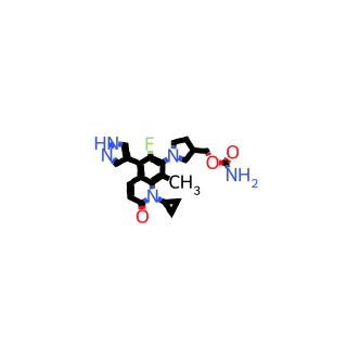 Cc1c(N2CCC(COC(N)=O)C2)c(F)c(-c2cn[nH]c2)c2ccc(=O)n(C3CC3)c12